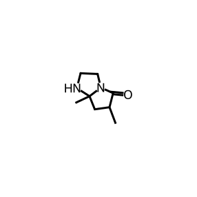 CC1CC2(C)NCCN2C1=O